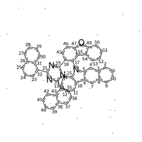 c1ccc2cc3c(cc2c1)c1ccccc1n3-c1c(-c2nc(-c3cccc4ccccc34)nc(-c3cccc4ccccc34)n2)ccc2oc3ccccc3c12